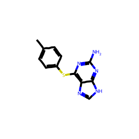 Cc1ccc(Sc2nc(N)nc3[nH]cnc23)cc1